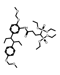 CCOP(=O)(OCC)C(CCC(=O)Nc1cc(C(CC)C(CC)c2ccc(OCOC)cc2)ccc1OCOC)P(=O)(OCC)OCC